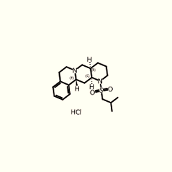 CC(C)CS(=O)(=O)N1CCC[C@@H]2CN3CCc4ccccc4[C@H]3C[C@@H]21.Cl